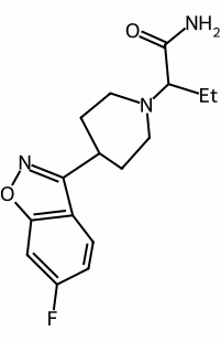 CCC(C(N)=O)N1CCC(c2noc3cc(F)ccc23)CC1